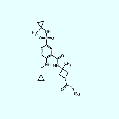 CC1(NC(=O)c2cc(S(=O)(=O)NC3(C)CC3)ccc2NCC2CC2)CN(C(=O)OC(C)(C)C)C1